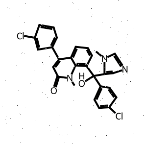 Cn1cncc1C(O)(c1ccc(Cl)cc1)c1cccc2c(-c3cccc(Cl)c3)cc(=O)n(C)c12